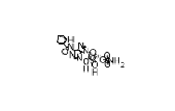 NS(=O)(=O)OC[C@H]1O[C@@H](n2cnc3c(NC(=O)c4ccccc4)ncnc32)[C@H](O)[C@@H]1O